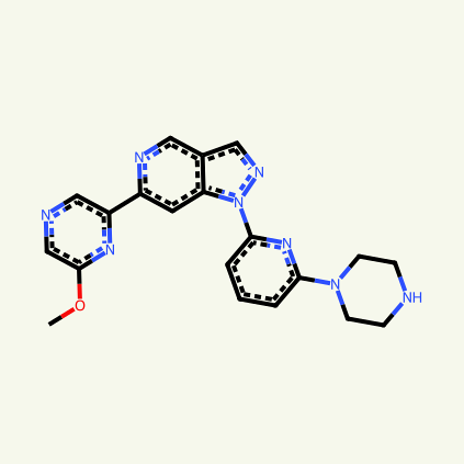 COc1cncc(-c2cc3c(cn2)cnn3-c2cccc(N3CCNCC3)n2)n1